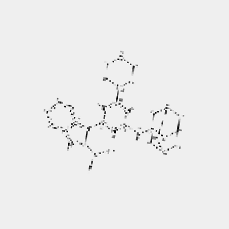 FC(F)c1nc2ccccc2n1-c1nc(NC23CC4CC(CC(C4)C2)C3)nc(N2CCOCC2)n1